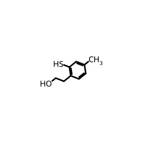 Cc1ccc(CCO)c(S)c1